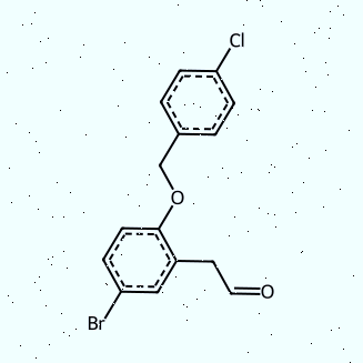 O=CCc1cc(Br)ccc1OCc1ccc(Cl)cc1